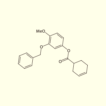 COc1ccc(OC(=O)C2CC=CCC2)cc1OCc1ccccc1